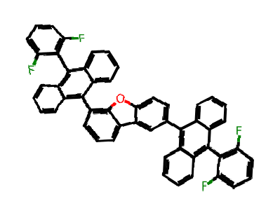 Fc1cccc(F)c1-c1c2ccccc2c(-c2ccc3oc4c(-c5c6ccccc6c(-c6c(F)cccc6F)c6ccccc56)cccc4c3c2)c2ccccc12